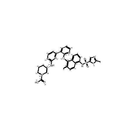 Cc1ncc(S(=O)(=O)Nc2cccc3c(Oc4ncccc4-c4ccnc(N[C@H]5CCCN(C(=O)O)C5)n4)c(C)ccc23)s1